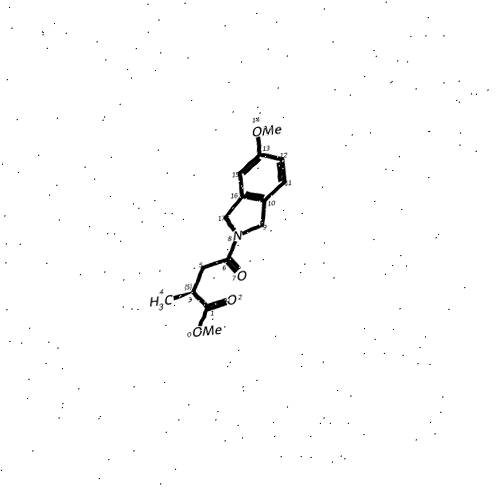 COC(=O)[C@@H](C)CC(=O)N1Cc2ccc(OC)cc2C1